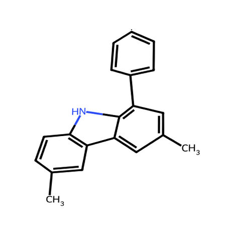 Cc1ccc2[nH]c3c(-c4cc[c]cc4)cc(C)cc3c2c1